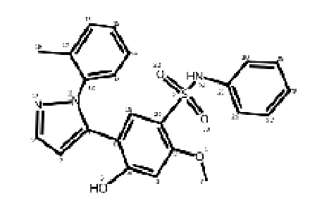 COc1cc(O)c(-c2ccnn2-c2ccccc2C)cc1S(=O)(=O)Nc1ccccc1